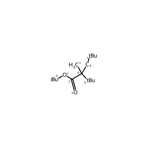 CCC(C)OC(=O)C(C)(CC(C)(C)C)C(C)(C)C